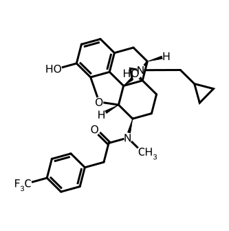 CN(C(=O)Cc1ccc(C(F)(F)F)cc1)[C@@H]1CC[C@@]2(O)[C@H]3Cc4ccc(O)c5c4[C@@]2(CCN3CC2CC2)[C@H]1O5